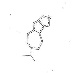 CC(C)c1ccc2cc3cscc3c-2cc1